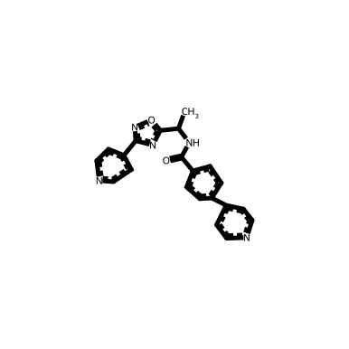 CC(NC(=O)c1ccc(-c2ccncc2)cc1)c1nc(-c2ccncc2)no1